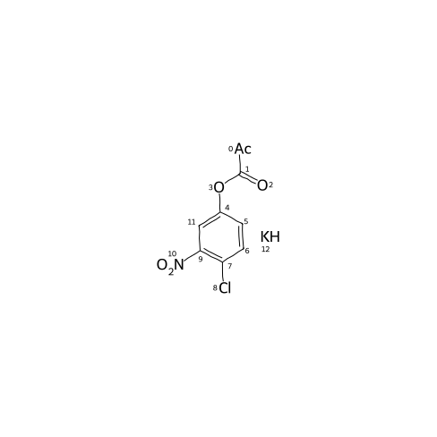 CC(=O)C(=O)Oc1ccc(Cl)c([N+](=O)[O-])c1.[KH]